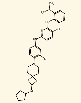 CP(C)c1ccccc1Nc1nc(Nc2ccc(N3CCC4(CC3)CC(NC3CCCC3)C4)c(Cl)c2)ncc1Cl